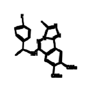 COc1cc2c(NC(C)c3ccc(F)cc3)nn3c(C)nnc3c2cc1OC